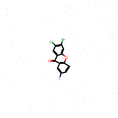 O=c1c2cc(I)ccc2oc2cc(Br)c(Cl)cc12